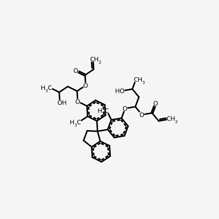 C=CC(=O)OC(CC(C)O)Oc1cccc(C2(c3cccc(OC(CC(C)O)OC(=O)C=C)c3C)CCc3ccccc32)c1C